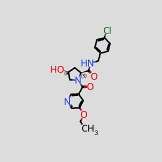 CCOc1cncc(C(=O)N2C[C@H](O)C[C@H]2C(=O)NCc2ccc(Cl)cc2)c1